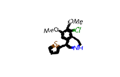 COc1cc2c(c(Cl)c1OC)CCNCC2c1cccs1